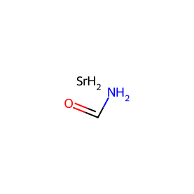 NC=O.[SrH2]